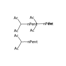 CCCCCC(C(C)=O)C(C)=O.CCCCCC(C(C)=O)C(C)=O.CCCCCC(C(C)=O)C(C)=O.[Fe]